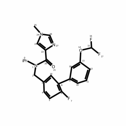 CC(C)N(Cc1ccc(F)c(-c2cccc(OC(F)F)c2)c1)C(=O)c1cn(C)cn1